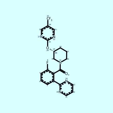 O=C(c1c(F)cccc1-c1ncccn1)N1CCC[C@@H](Oc2ncc(C(F)(F)F)cn2)C1